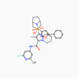 Cc1c(S(=O)(=O)N2C3CCC2CC(O)(c2cc(-c4ccccc4)on2)C3)c2n(c1C(=O)Nc1cc(F)nc(C#N)c1)CCC=C2